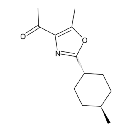 CC(=O)c1nc([C@H]2CC[C@H](C)CC2)oc1C